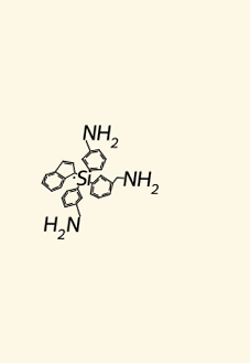 NCc1cccc([Si]([C]2C=Cc3ccccc32)(c2cccc(CN)c2)c2cccc(CN)c2)c1